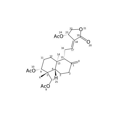 C=C1CC[C@@H]2[C@](C)(COC(C)=O)[C@H](OC(C)=O)CC[C@@]2(C)[C@@H]1C/C=C1/C(=O)OC[C@H]1OC(C)=O